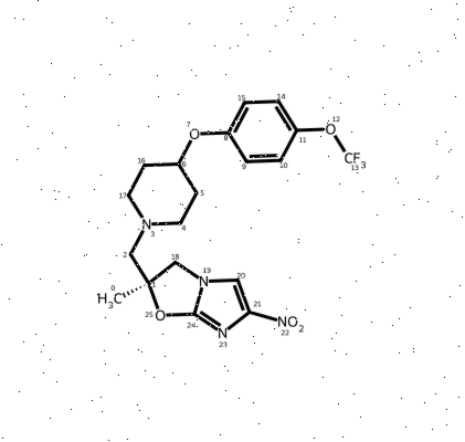 C[C@]1(CN2CCC(Oc3ccc(OC(F)(F)F)cc3)CC2)Cn2cc([N+](=O)[O-])nc2O1